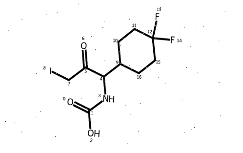 O=C(O)NC(C(=O)CI)C1CCC(F)(F)CC1